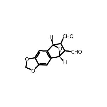 O=CC1C(C=O)[C@H]2O[C@@H]1c1cc3c(cc12)OCO3